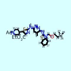 CCOC(=O)c1nc(N(C)c2cc(C)c(/N=c3\sc4ccccc4n3COCC[Si](C)(C)C)nn2)sc1C1CCN(C(C)=O)CC1